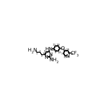 NCCCc1cc(Nc2ccc(Oc3ccnc(C(F)(F)F)c3)cc2)nc(N)n1